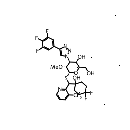 CO[C@@H]1[C@@H](n2cc(-c3cc(F)c(F)c(F)c3)nn2)[C@@H](O)[C@@H](CO)O[C@H]1SC(c1ncccc1C(F)(F)F)C1(O)CCC(F)(F)CC1